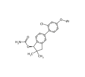 CC(C)Oc1ccc(-c2ccc3c(c2)CC(C)(C)[C@H]3OC(N)=O)c(Cl)c1